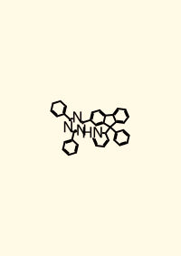 C1=CNC(C2(c3ccccc3)c3ccccc3-c3ccc(-c4nc(C5=CCCC=C5)nc(-c5ccccc5)n4)cc32)C=C1